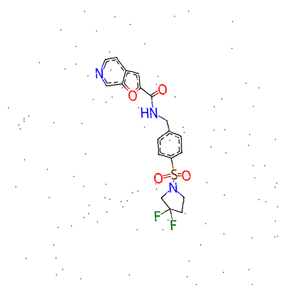 O=C(NCc1ccc(S(=O)(=O)N2CCC(F)(F)C2)cc1)c1cc2ccncc2o1